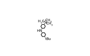 CC(C)(C)c1ccc(Nc2ccc([Si](C)(C)C)cc2)cc1